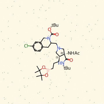 CC(=O)N[C@@]1(C(=O)NC(C)(C)C)CN(CC2Cc3ccc(Cl)cc3CN2C(=O)OC(C)(C)C)C[C@@H]1CCCB1OC(C)(C)C(C)(C)O1